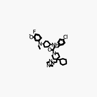 CCN(c1ccc(F)c(OC)c1)[C@H]1CC[C@H](N[C@H](Cc2ccc(Cl)cc2)C(=O)N2CCC(Cn3cncn3)(C3CCCCC3)CC2)CC1